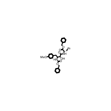 COc1ccc(CC(NC(=O)OCc2ccccc2)C(O)C(=O)N[C@@H](CC(C)C)C(=O)OCc2ccccc2)cc1